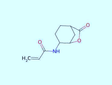 C=CC(=O)NC1CCC2CC1OC2=O